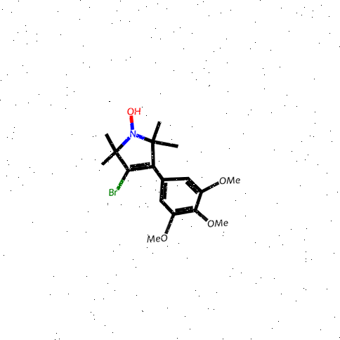 COc1cc(C2=C(Br)C(C)(C)N(O)C2(C)C)cc(OC)c1OC